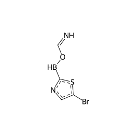 N=COBc1ncc(Br)s1